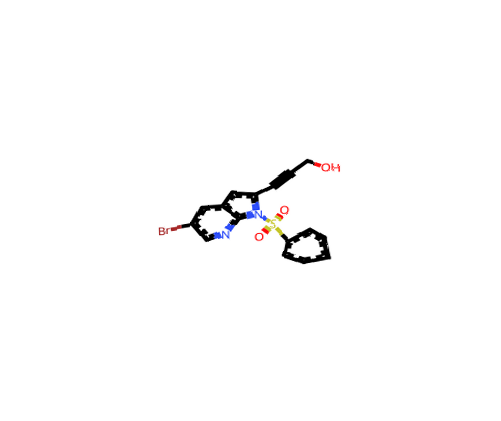 O=S(=O)(c1ccccc1)n1c(C#CCO)cc2cc(Br)cnc21